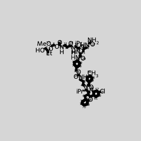 CCC(CO)OC(COC(=O)NCCC(=O)N[C@@H](C(=O)N[C@H](CCCNC(N)=O)C(=O)Nc1ccc(COC(=O)NCCCN(C(=O)c2ccc(C)cc2)[C@@H](C2=Nc3cc(Cl)ccc3C(=O)C2Cc2ccccc2)C(C)C)cc1)C(C)C)OC